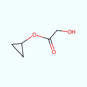 O=C(CO)OC1CC1